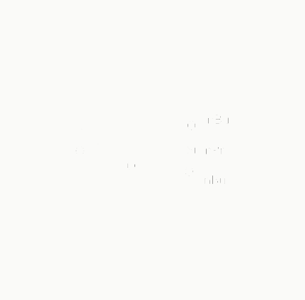 CCCCO[Si](CCC)(CC(C)OCC1CO1)OCCCC